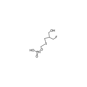 O=[PH](O)OCSCC(CO)CF